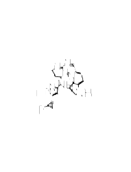 C[C@H](c1ccc2[nH]ccc2n1)N(C)c1nccc(Nc2cc([C@H]3C[C@H]3F)[nH]n2)n1